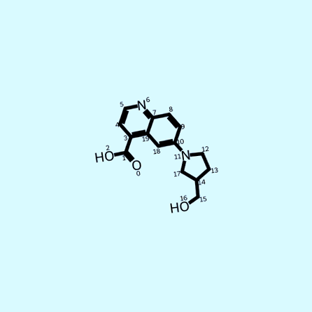 O=C(O)c1ccnc2ccc(N3CCC(CO)C3)cc12